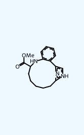 COC(=O)C1CCCCCc2nc(c[nH]2)-c2ccccc2N1